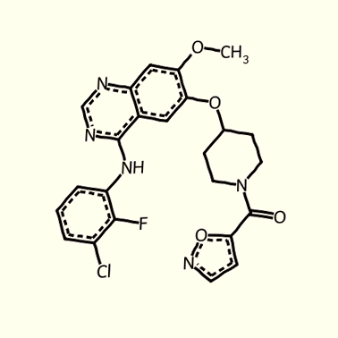 COc1cc2ncnc(Nc3cccc(Cl)c3F)c2cc1OC1CCN(C(=O)c2ccno2)CC1